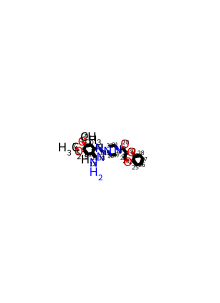 [2H]c1c(OC)c(OC)c([2H])c2c(N)nc(N3CCN(C(=O)C4COc5ccccc5O4)CC3)nc12